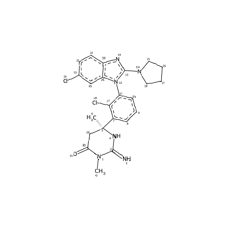 CN1C(=N)N[C@](C)(c2cccc(-n3c(N4CCCC4)nc4ccc(Cl)cc43)c2Cl)CC1=O